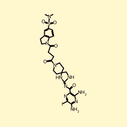 CN(C)S(=O)(=O)c1ccc2c(c1)CCN2C(=O)CCC(=O)N1CCC2(CC1)CN/C(=N\C(=O)c1nc(I)c(N)nc1N)N2